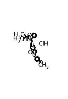 CCC(CC)C(=O)NC(CCN1CCC2(CC1)CCN(Cc1ccc(OC)cc1)C2=O)c1ccccc1.Cl